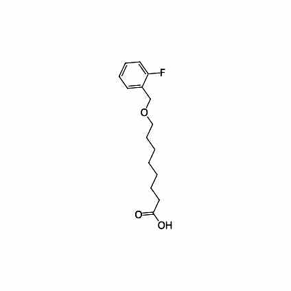 O=C(O)CCCCCCCOCc1ccccc1F